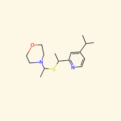 CC(C)c1ccnc(C(C)SC(C)N2CCOCC2)c1